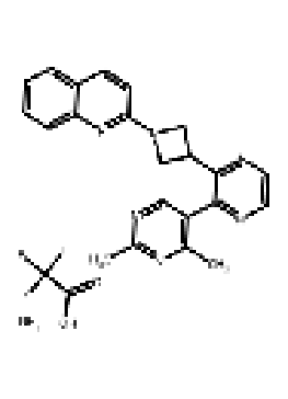 Cc1ncc(-c2nccnc2C2CN(c3ccc4ccccc4n3)C2)c(C)n1.N.O=C(O)C(F)(F)F